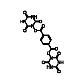 O=C(On1c(=O)[nH]c(=O)[nH]c1=O)c1ccc(C(=O)On2c(=O)[nH]c(=O)[nH]c2=O)cc1